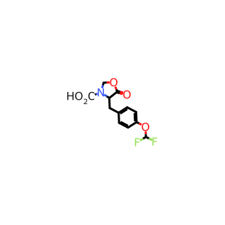 O=C1OCN(C(=O)O)C1Cc1ccc(OC(F)F)cc1